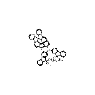 CC1(C)c2ccccc2-c2ccc(N(c3ccc4c(c3)C(C)(C)c3ccccc3-4)c3cccc4c3sc3ccc5c(c34)C3(c4ccccc4-c4ccccc43)c3ccccc3-5)cc21